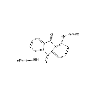 CCCCCNc1cccc2c1C(=O)c1cccc(NCCCCC)c1C2=O